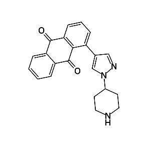 O=C1c2ccccc2C(=O)c2c1cccc2-c1cnn(C2CCNCC2)c1